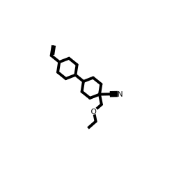 C=CC1CCC(C2CCC(C#N)(COCC)CC2)CC1